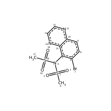 CS(=O)(=O)N(c1c(Br)ccc2nccnc12)S(C)(=O)=O